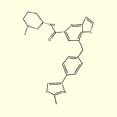 Cc1nc(-c2ccc(Cc3cc(C(=O)NC4CCCN(C)C4)nc4ccsc34)cc2)cs1